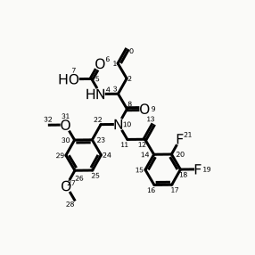 C=CCC(NC(=O)O)C(=O)N(CC(=C)c1cccc(F)c1F)Cc1ccc(OC)cc1OC